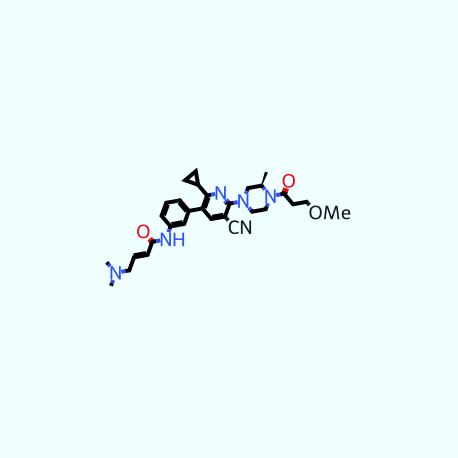 COCCC(=O)N1CCN(c2nc(C3CC3)c(-c3cccc(NC(=O)/C=C/CN(C)C)c3)cc2C#N)C[C@H]1C